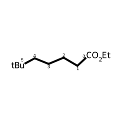 CCOC(=O)CCCCC(C)(C)C